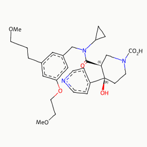 COCCCc1cc(CN(C(=O)[C@H]2CN(C(=O)O)CC[C@]2(O)c2ccncc2)C2CC2)cc(OCCOC)c1